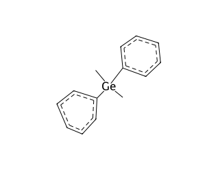 [CH3][Ge]([CH3])([c]1ccccc1)[c]1ccccc1